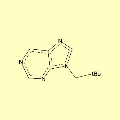 CC(C)(C)Cn1cnc2cncnc21